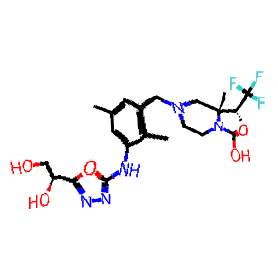 Cc1cc(CN2CCN(C(=O)O)[C@@](C)([C@@H](C)C(F)(F)F)C2)c(C)c(Nc2nnc([C@@H](O)CO)o2)c1